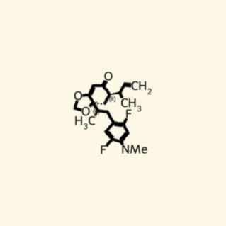 C=CC(C)[C@H]1C[C@]2([C@H](C)Cc3cc(F)c(NC)cc3F)OCOC2=CC1=O